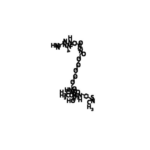 Cc1ncsc1-c1ccc(CNC(=O)[C@@H]2C[C@@H](O)CN2C(=O)[C@@H](NC(=O)CCOCCOCCOCCOCCOCCC(=O)N2CCN(C(=O)c3ccc(Nc4nc(C5CC5)cn5c(-c6cn[nH]c6)cnc45)c(F)c3)CC2)C(C)(C)C)cc1